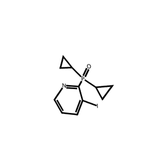 O=P(c1ncccc1I)(C1CC1)C1CC1